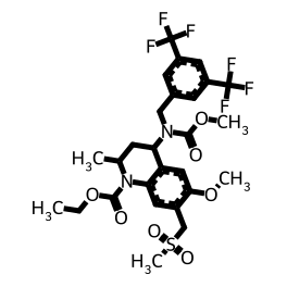 CCOC(=O)N1c2cc(CS(C)(=O)=O)c(OC)cc2C(N(Cc2cc(C(F)(F)F)cc(C(F)(F)F)c2)C(=O)OC)CC1C